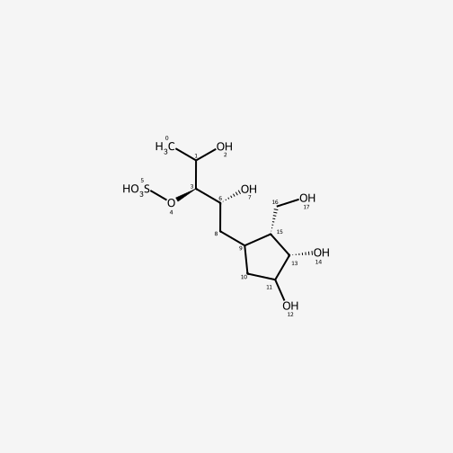 CC(O)[C@H](OS(=O)(=O)O)[C@H](O)CC1CC(O)[C@@H](O)[C@H]1CO